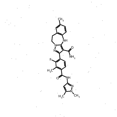 Cc1ccc2c(c1)CCn1nc(-c3ccc(C(=O)Nc4cc(C)n(C)n4)c(C)c3F)c(C(N)=O)c1N2